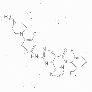 CN1CCN(c2ccc(Nc3ncc4c(=O)n(-c5c(F)cccc5F)n5ccnc5c4n3)cc2Cl)CC1